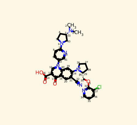 CN(C)[C@H]1CCN(c2ccc(-n3cc(C(=O)O)c(=O)c4cc(C#N)c(N5CCC[C@@H]5COc5ncccc5Cl)cc43)cn2)C1